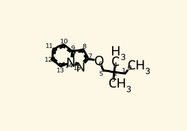 CCC(C)(C)COc1cc2ccccn2n1